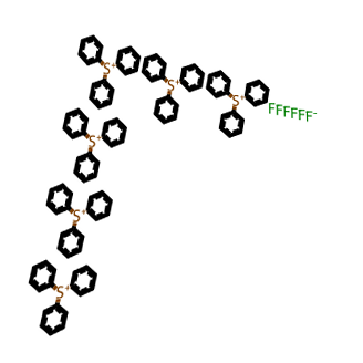 [F-].[F-].[F-].[F-].[F-].[F-].c1ccc([S+](c2ccccc2)c2ccccc2)cc1.c1ccc([S+](c2ccccc2)c2ccccc2)cc1.c1ccc([S+](c2ccccc2)c2ccccc2)cc1.c1ccc([S+](c2ccccc2)c2ccccc2)cc1.c1ccc([S+](c2ccccc2)c2ccccc2)cc1.c1ccc([S+](c2ccccc2)c2ccccc2)cc1